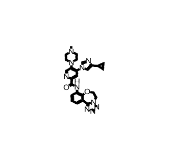 CN1CCN(c2cnc(C(=O)Nc3cccc4c3OCCn3nnnc3-4)cc2-n2cnc(C3CC3)c2)CC1